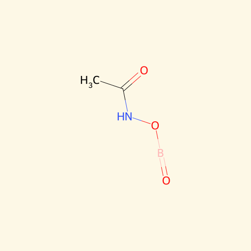 CC(=O)NOB=O